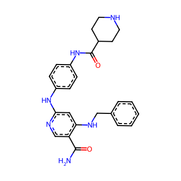 NC(=O)c1cnc(Nc2ccc(NC(=O)C3CCNCC3)cc2)cc1NCc1ccccc1